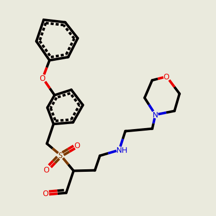 O=CC(CCNCCN1CCOCC1)S(=O)(=O)Cc1cccc(Oc2ccccc2)c1